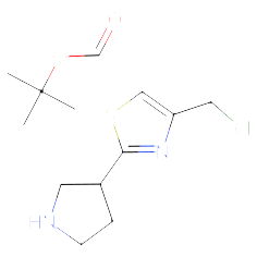 CC(C)(C)OC=O.ClCc1csc(C2CCNC2)n1